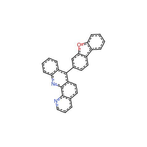 c1cnc2c(c1)ccc1c(-c3ccc4c(c3)oc3ccccc34)c3ccccc3nc12